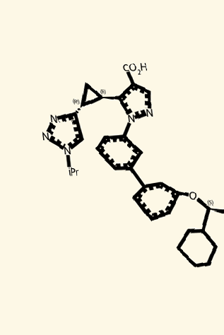 CC(C)n1cc([C@@H]2C[C@H]2c2c(C(=O)O)cnn2-c2cccc(-c3cccc(O[C@@H](C)C4CCCCC4)c3)c2)nn1